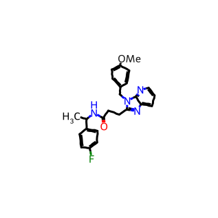 COc1ccc(Cn2c(CCC(=O)NC(C)c3ccc(F)cc3)nc3cccnc32)cc1